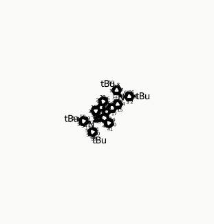 CC(C)(C)c1ccc(N(c2ccc(C(C)(C)C)cc2)c2ccc3cc4c(cc3c2)C2(c3ccccc3-c3ccccc32)c2c-4c3ccccc3c3cc(N(c4ccc(C(C)(C)C)cc4)c4ccc(C(C)(C)C)cc4)ccc23)cc1